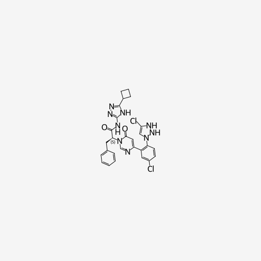 O=C(Nc1nnc(C2CCC2)[nH]1)[C@H](Cc1ccccc1)n1cnc(-c2cc(Cl)ccc2N2C=C(Cl)NN2)cc1=O